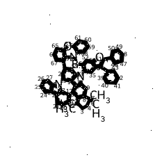 CC1(C)CCC(C)(C)c2cc3c(cc21)c1c(-n2c4ccccc4c4ccccc42)cc2c4c1n3-c1cc3c(-c5ccccc5)c(-c5ccccc5)oc3cc1B4N1c3ccccc3Oc3cccc-2c31